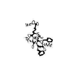 CNC(=O)[C@H](Cc1ccccc1)N(C(=O)OCc1ccccc1)C(=O)[C@H](CC(C)C)NC(=O)C(CCCC(=O)OC)SC(C)=O